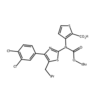 CC(C)Cc1sc(N(C(=O)OC(C)(C)C)c2ccsc2C(=O)O)nc1-c1ccc(Cl)c(Cl)c1